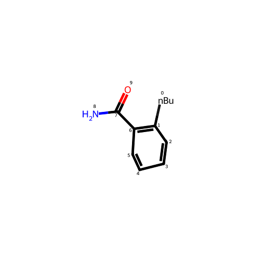 CCCCc1[c]cccc1C(N)=O